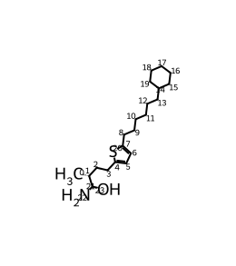 C[C@H](CCc1ccc(CCCCCCC2CCCCC2)s1)C(N)O